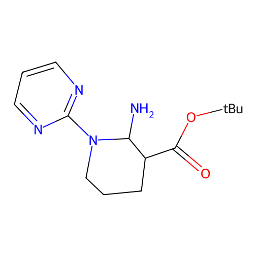 CC(C)(C)OC(=O)C1CCCN(c2ncccn2)C1N